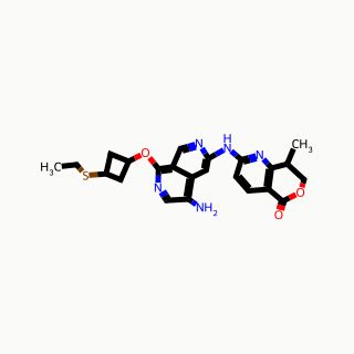 CCSC1CC(Oc2ncc(N)c3cc(Nc4ccc5c(n4)C(C)COC5=O)ncc23)C1